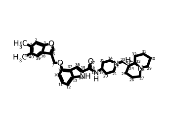 Cc1cc2occ(COc3cccc4[nH]c(C(=O)NC5CCN(C[C@@H]6CCCN7CCCC[C@H]67)CC5)cc34)c2cc1C